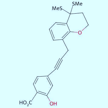 CSC1(SC)CCOc2c(CC#Cc3ccc(C(=O)O)c(O)c3)cccc21